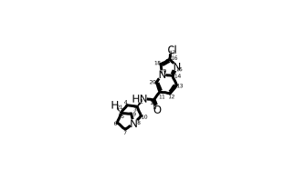 O=C(N[C@@H]1C[C@@H]2CCN(C2)C1)c1ccc2nc(Cl)cn2c1